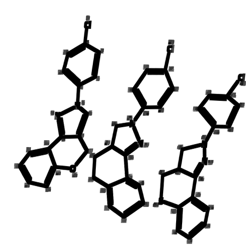 Clc1ccc(-n2cc3c(n2)-c2ccccc2OC3)cc1.Clc1ccc(N2CC3CCc4ccccc4C3=N2)cc1.Clc1ccc(N2CC3CSc4ccccc4C3=N2)cc1